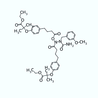 CCOC(=O)C(C)(C)Oc1ccc(CCCC(=O)ON(C(=O)CCCc2ccc(OC(C)(C)C(=O)OCC)cc2)N(Cc2cccc(OC)c2)C(N)=O)cc1